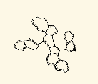 c1ccc2c(c1)CC(C1=C3C(=C(c4cccc5ccccc45)c4c3ccc3ccccc43)c3ccc4ccccc4c31)=N2